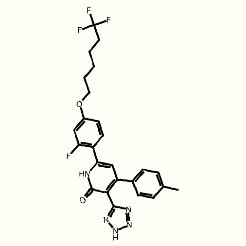 Cc1ccc(-c2cc(-c3ccc(OCCCCCC(F)(F)F)cc3F)[nH]c(=O)c2-c2nn[nH]n2)cc1